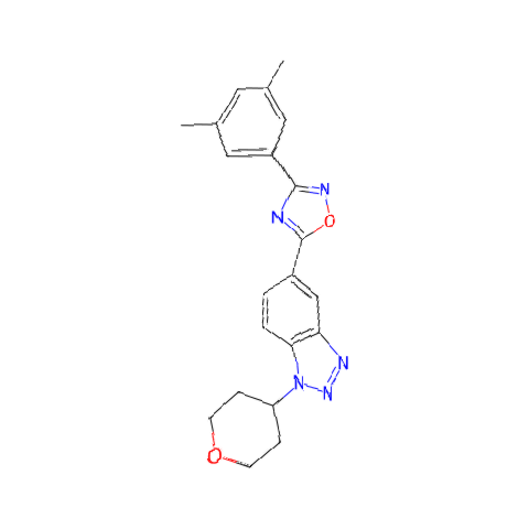 Cc1cc(C)cc(-c2noc(-c3ccc4c(c3)nnn4C3CCOCC3)n2)c1